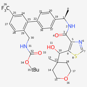 C[C@@H](NC(=O)c1ncsc1C(O)C1(C)CCOCC1)c1ccc(-c2cc(C(F)(F)F)ccc2CNC(=O)OC(C)(C)C)cc1